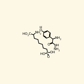 NC(CCCCCCP(=O)(O)O)C(=O)O.NNC(=O)C(N)c1ccc(O)cc1